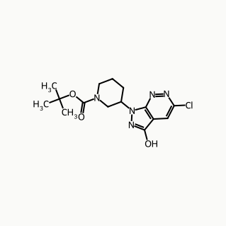 CC(C)(C)OC(=O)N1CCCC(n2nc(O)c3cc(Cl)nnc32)C1